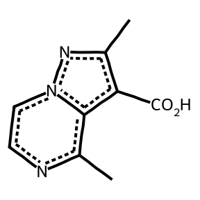 Cc1nn2ccnc(C)c2c1C(=O)O